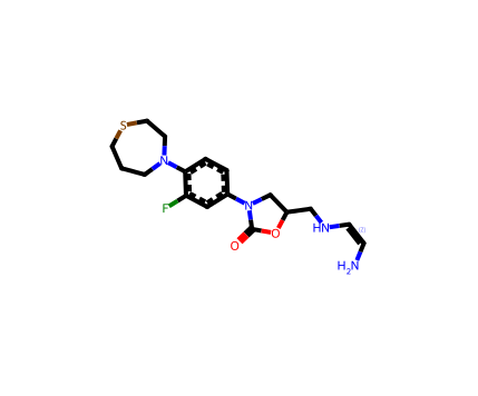 N/C=C\NCC1CN(c2ccc(N3CCCSCC3)c(F)c2)C(=O)O1